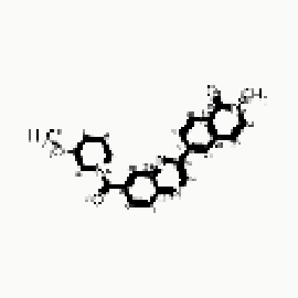 CO[C@@H]1CCCN(C(=O)c2ccc3ncc(-c4ccc5c(=O)n(C)ccc5c4)nc3c2)C1